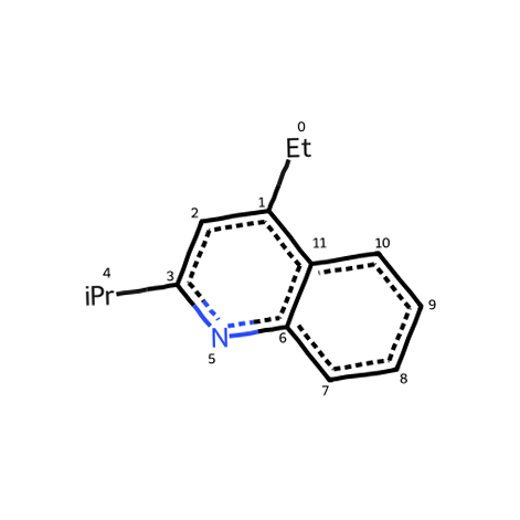 CCc1cc(C(C)C)nc2ccccc12